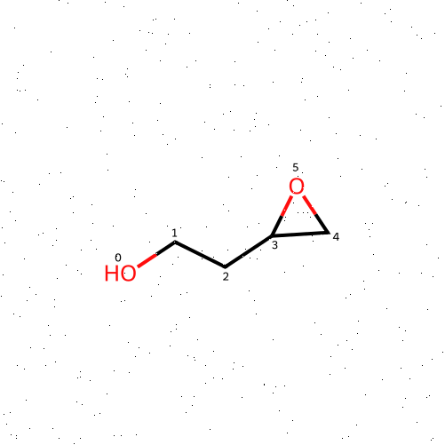 OCCC1CO1